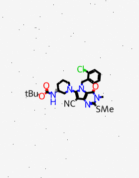 CSc1nc2c(C#N)c(N3CCC[C@@H](NC(=O)OC(C)(C)C)C3)n(Cc3ccccc3Cl)c2c(=O)n1C